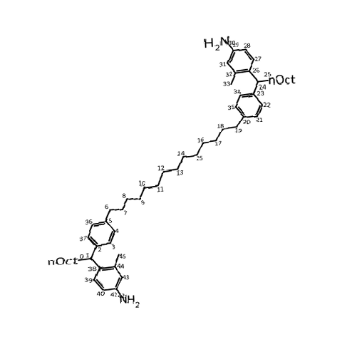 CCCCCCCCC(c1ccc(CCCCCCCCCCCCCCc2ccc(C(CCCCCCCC)c3ccc(N)cc3C)cc2)cc1)c1ccc(N)cc1C